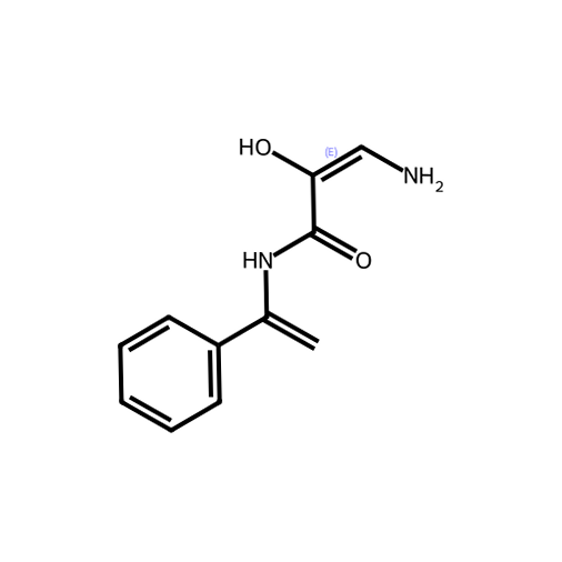 C=C(NC(=O)/C(O)=C\N)c1ccccc1